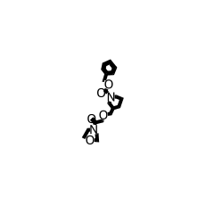 O=C(COCC1CCCN(C(=O)OCc2ccccc2)C1)N1CCOCC1